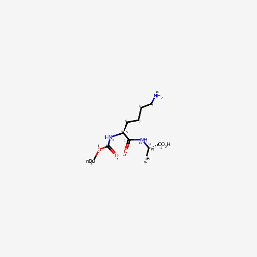 CCCCOC(=O)N[C@@H](CCCCN)C(=O)N[C@H](C(=O)O)C(C)C